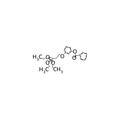 CCO[Si](CCCOc1cccc(OC(=O)c2ccccc2)c1)(OCC)OCC